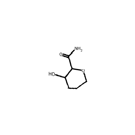 NC(=O)C1OCC[CH]C1O